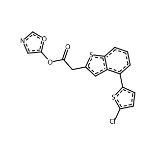 O=C(Cc1cc2c(-c3ccc(Cl)s3)cccc2s1)Oc1cnco1